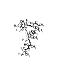 CC[C@H](OC)[C@@H](C)[C@@H]1O[C@H]1[C@H](O)[C@@H](C)/C=C/C=C(\C)[C@H]1O[C@H](OC)[C@H](OC)[C@@H](OC)[C@H]1OCCO[C@H]1O[C@H](/C(C)=C/C=C/[C@H](C)[C@@H](O)[C@@H]2O[C@H]2[C@H](C)[C@H](CC)OC)[C@@H](OC)[C@H](OC)[C@@H]1OC